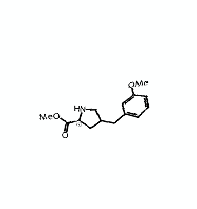 COC(=O)[C@@H]1CC(Cc2cccc(OC)c2)CN1